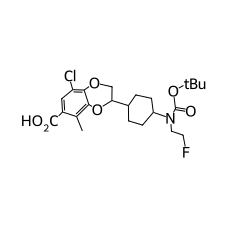 Cc1c(C(=O)O)cc(Cl)c2c1OC(C1CCC(N(CCF)C(=O)OC(C)(C)C)CC1)CO2